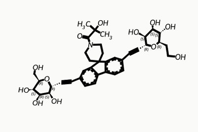 CC(C)(O)C(=O)N1CCC2(CC1)c1cc(C#C[C@H]3O[C@H](CO)[C@@H](O)[C@H](O)[C@@H]3O)ccc1-c1ccc(C#C[C@H]3O[C@H](CCO)[C@@H](O)[C@H](O)[C@@H]3O)cc12